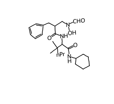 CCCC(C)(C)C(NC(=O)C(Cc1ccccc1)CN(O)C=O)C(=O)NC1CCCCC1